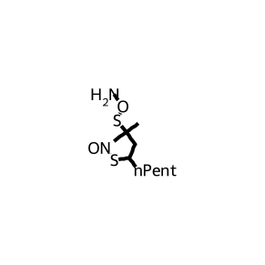 CCCCCC(CC(C)(C)SON)SN=O